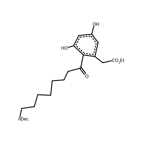 CCCCCCCCCCCCCCCCCC(=O)c1c(O)cc(O)cc1CC(=O)OCC